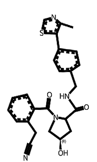 Cc1ncsc1-c1ccc(CNC(=O)C2C[C@@H](O)CN2C(=O)c2ccccc2CC#N)cc1